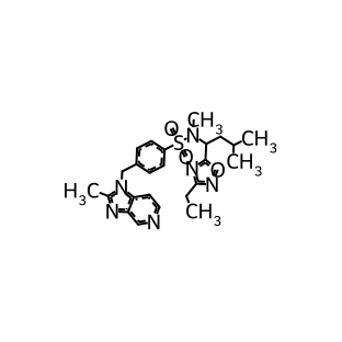 CCc1noc(C(CC(C)C)N(C)S(=O)(=O)c2ccc(Cn3c(C)nc4cnccc43)cc2)n1